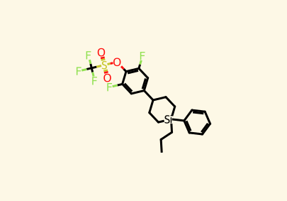 CCC[Si]1(c2ccccc2)CCC(c2cc(F)c(OS(=O)(=O)C(F)(F)F)c(F)c2)CC1